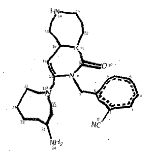 N#Cc1ccccc1CN1C(=O)N2CCNCC2C=C1N1CCCC(N)C1